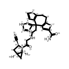 C[C@H](CC1(c2nn[nH]n2)c2ccsc2CCc2sc(C(N)=O)cc21)NCC(=O)N1[C@H](C#N)C[C@@H]2C[C@@H]21